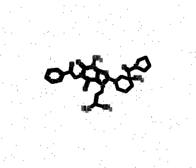 CC(C)=CCn1c(N2CCCC(N)(C(=O)N3CCCC3)C2)nc2c1c(=O)n(CC(=O)c1ccccc1)c(=O)n2C